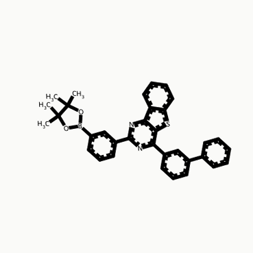 CC1(C)OB(c2cccc(-c3nc(-c4cccc(-c5ccccc5)c4)c4sc5ccccc5c4n3)c2)OC1(C)C